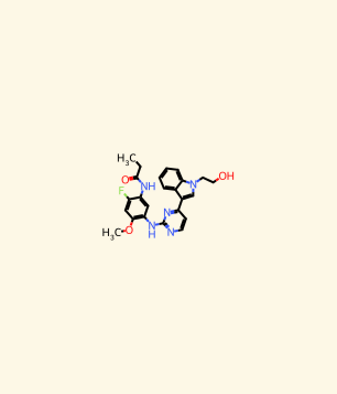 CCC(=O)Nc1cc(Nc2nccc(-c3cn(CCO)c4ccccc34)n2)c(OC)cc1F